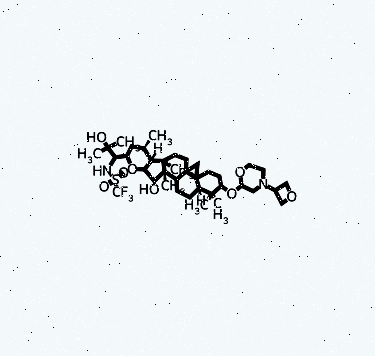 C[C@@H]1CC(C(NS(=O)(=O)C(F)(F)F)C(C)(C)O)OC2[C@H]1C1(C)CCC34CC35CCC(OC3CN(C6COC6)CCO3)C(C)(C)[C@@H]5CCC4[C@]1(C)[C@H]2O